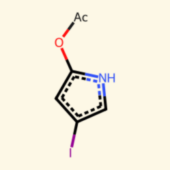 CC(=O)Oc1cc(I)c[nH]1